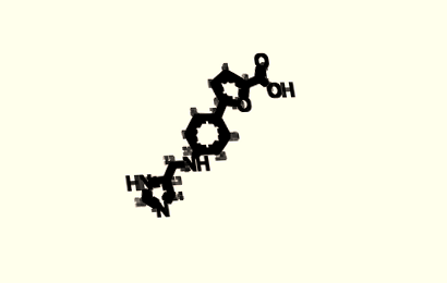 O=C(O)c1ccc(-c2ccc(NCc3cnc[nH]3)cc2)o1